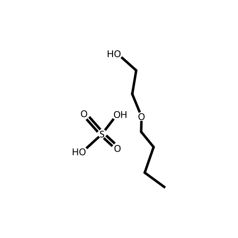 CCCCOCCO.O=S(=O)(O)O